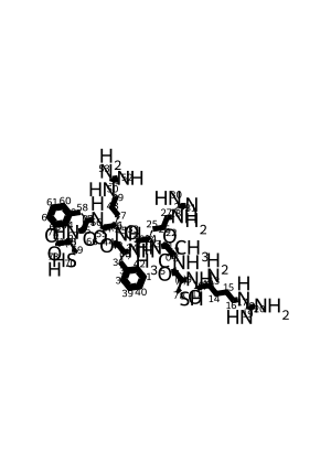 CC(C)(NC(=O)[C@H](CS)NC(=O)[C@@H](N)CCCNC(=N)N)C(=O)N[C@@H](CCCNC(=N)N)C(=O)N[C@H](Cc1ccccc1)C(=O)N[C@@H](CCCNC(=N)N)C(=O)N[C@@H](Cc1ccccc1)C(=O)N[C@@H](CS)C(=O)O